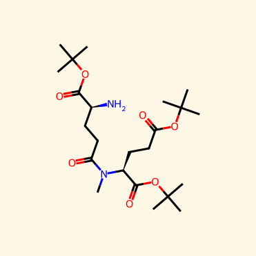 CN(C(=O)CC[C@H](N)C(=O)OC(C)(C)C)[C@@H](CCC(=O)OC(C)(C)C)C(=O)OC(C)(C)C